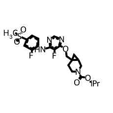 CC(C)OC(=O)N1CCC2(COc3ncnc(Nc4ccc(S(C)(=O)=O)cc4F)c3F)CC2C1